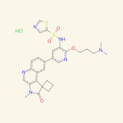 CN(C)CCCOc1ncc(-c2ccc3ncc4c(c3c2)C2(CCC2)C(=O)N4C)cc1NS(=O)(=O)c1cncs1.Cl